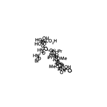 CC[C@H](C)C([C@@H](CC(=O)N1CCC[C@H]1[C@H](OC)[C@@H](C)C(=O)N[C@H](C)[C@@H](O)c1ccccc1)OC)N(C)C(=O)[C@@H](NC(=O)C(C(C)C)N(C)C(=O)OCc1ccc(OC2O[C@H](C(=O)O)[C@@H](O)[C@H](O)[C@H]2O)c(NC(=O)CCNC(=O)CBr)c1)C(C)C